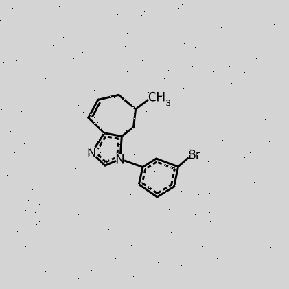 CC1CC=Cc2ncn(-c3cccc(Br)c3)c2C1